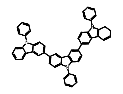 C1=Cc2c(n(-c3ccccc3)c3ccc(-c4ccc5c(c4)c4cc(-c6ccc7c(c6)c6ccccc6n7-c6ccccc6)ccc4n5-c4ccccc4)cc23)CC1